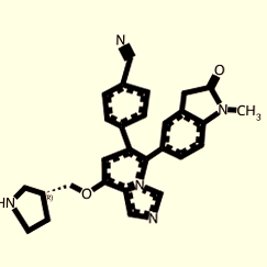 CN1C(=O)Cc2cc(-c3c(-c4ccc(C#N)cc4)cc(OC[C@@H]4CCNC4)c4cncn34)ccc21